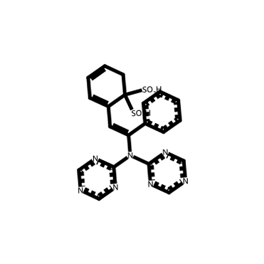 O=S(=O)(O)C1(S(=O)(=O)O)CC=CC=C1C=C(c1ccccc1)N(c1ncncn1)c1ncncn1